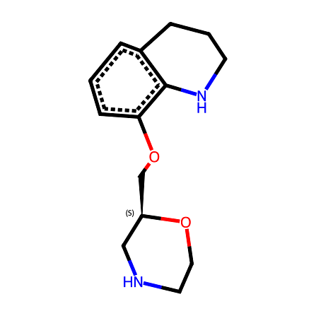 c1cc2c(c(OC[C@@H]3CNCCO3)c1)NCCC2